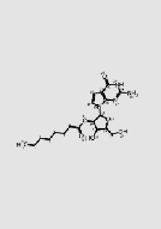 CCCCCCCC(=O)OC1C(O)C(CO)OC1n1ccc2c(=O)[nH]c(N)nc21